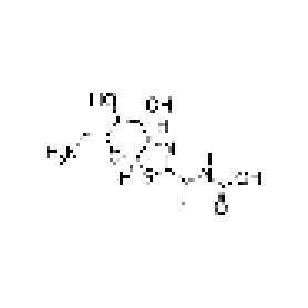 CC(NC(=O)O)C1=N[C@@H]2[C@@H](O)[C@H](O)[C@@H](CN)O[C@@H]2S1